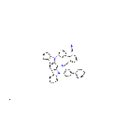 N#Cc1cccc(C#N)c1-c1cccc(-n2c3ccccc3c3cc4c5ccccc5n(-c5ccc(-c6ccccc6)cc5)c4cc32)c1